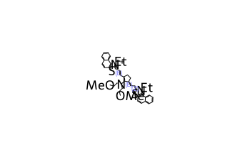 CCN1/C(=C/C=C2\CCC(/C=C/c3sc4ccc5ccccc5c4[n+]3CC)=C2N(CCOC)CCOC)Sc2ccc3ccccc3c21